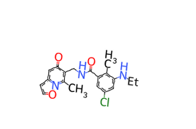 CCNc1cc(Cl)cc(C(=O)NCc2c(C)n3occc3cc2=O)c1C